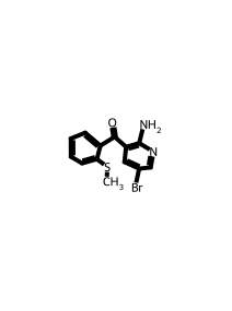 CSc1ccccc1C(=O)c1cc(Br)cnc1N